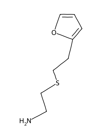 NCCSCCc1ccco1